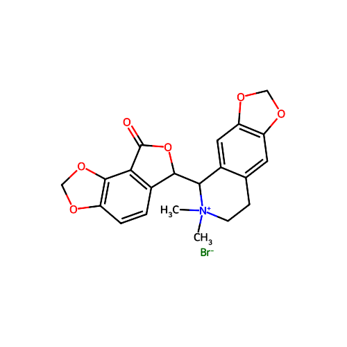 C[N+]1(C)CCc2cc3c(cc2C1C1OC(=O)c2c1ccc1c2OCO1)OCO3.[Br-]